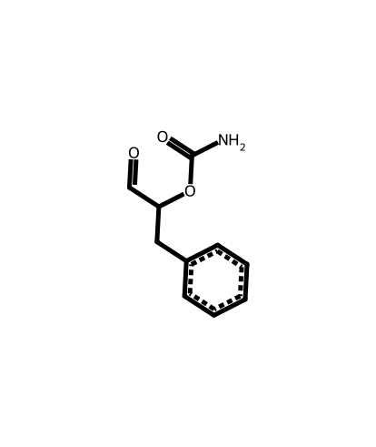 NC(=O)OC(C=O)Cc1ccccc1